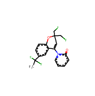 O=c1ccccn1C1=CC(CF)(CF)Oc2ccc(C(F)(F)C(F)(F)F)cc21